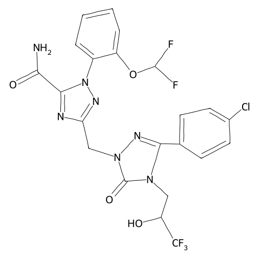 NC(=O)c1nc(Cn2nc(-c3ccc(Cl)cc3)n(CC(O)C(F)(F)F)c2=O)nn1-c1ccccc1OC(F)F